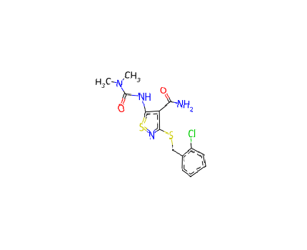 CN(C)C(=O)Nc1snc(SCc2ccccc2Cl)c1C(N)=O